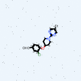 CCc1cnc(N2CCC(Oc3ccc(C=O)cc3Cl)CC2)nc1